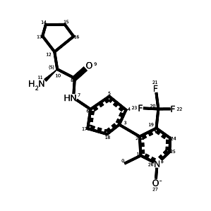 Cc1c(-c2ccc(NC(=O)[C@@H](N)C3CCCC3)cc2)c(C(F)(F)F)cc[n+]1[O-]